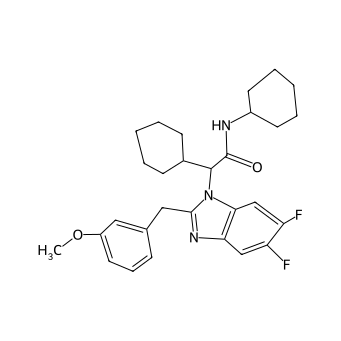 COc1cccc(Cc2nc3cc(F)c(F)cc3n2C(C(=O)NC2CCCCC2)C2CCCCC2)c1